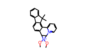 CO[N+]1(OC)C2c3ccc4c(c3-c3cccc[n+]3C21)C(C)(C)c1ccccc1-4